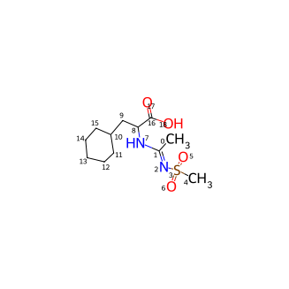 C/C(=N\S(C)(=O)=O)NC(CC1CCCCC1)C(=O)O